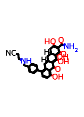 N#CCCNCc1ccc(-c2ccc(O)c3c2C[C@H]2C[C@H]4CC(O)=C(C(N)=O)C(=O)[C@@]4(O)C(O)=C2C3=O)cc1